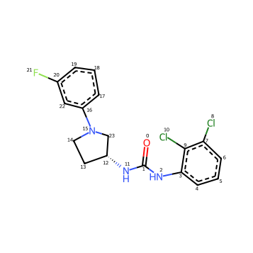 O=C(Nc1cccc(Cl)c1Cl)N[C@@H]1CCN(c2cccc(F)c2)C1